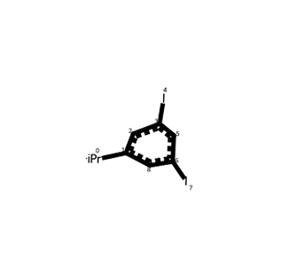 C[C](C)c1cc(I)cc(I)c1